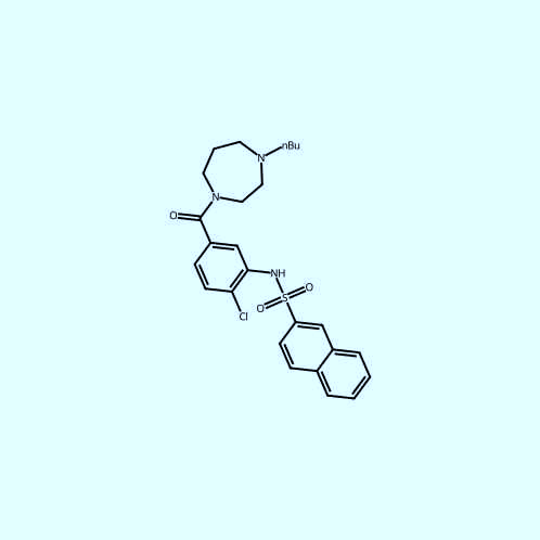 CCCCN1CCCN(C(=O)c2ccc(Cl)c(NS(=O)(=O)c3ccc4ccccc4c3)c2)CC1